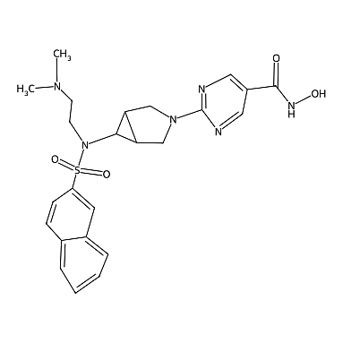 CN(C)CCN(C1C2CN(c3ncc(C(=O)NO)cn3)CC21)S(=O)(=O)c1ccc2ccccc2c1